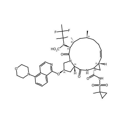 C[C@H]1CCC=C[C@@H]2C[C@@]2(C(=O)NS(=O)(=O)C2(C)CC2)NC(=O)[C@@H]2C[C@@H](Oc3nccc4c(N5CCOCC5)cccc34)CN2C(=O)[C@@H](N(C(=O)O)C(C)(C)C(C)(F)F)[C@H](C)C1